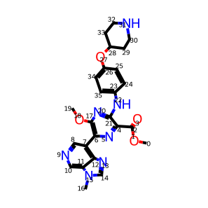 COC(=O)c1nc(-c2cncc3c2ncn3C)c(OC)nc1Nc1ccc(OC2CCNCC2)cc1